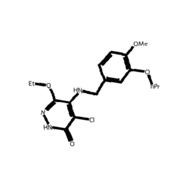 CCCOc1cc(CNc2c(OCC)n[nH]c(=O)c2Cl)ccc1OC